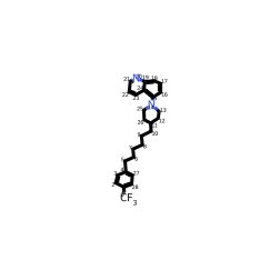 FC(F)(F)c1ccc(CCCCCCC2CCN(c3cccc4ncccc34)CC2)cc1